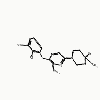 CCC1(C)CCN(c2cnc(Sc3ccnc(Cl)c3Cl)c(N)n2)CC1